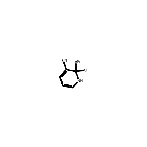 CCCCC1(Cl)NC=CC=C1C#N